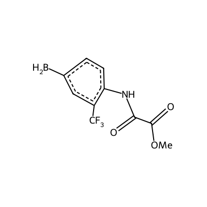 Bc1ccc(NC(=O)C(=O)OC)c(C(F)(F)F)c1